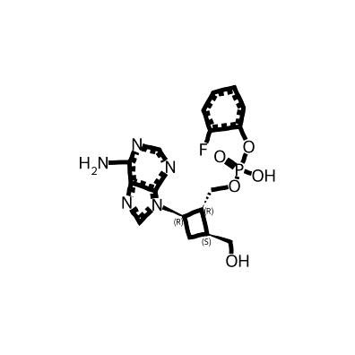 Nc1ncnc2c1ncn2[C@@H]1C[C@H](CO)[C@H]1COP(=O)(O)Oc1ccccc1F